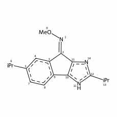 CO/N=C1\c2cc(C(C)C)ccc2-c2[nH]c(C(C)C)nc21